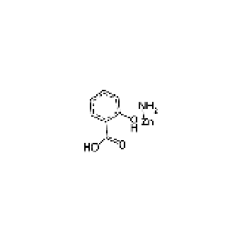 O=C(O)c1ccccc1O.[NH2][Zn]